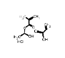 C=C(C)C(=O)OC(C)O.C=CC(=O)O.Cl